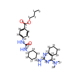 CCCCOC(=O)c1ccc(NC(=O)N[C@H]2CC[C@@H](Nc3nc4c(c(N(C)C)n3)CCCC4)CC2)cc1